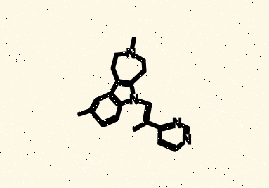 C/C(=C\n1c2c(c3cc(C)ccc31)CCN(C)CC2)c1ccncn1